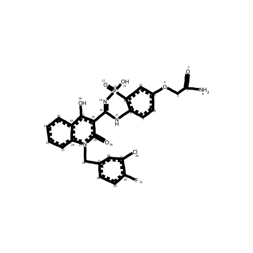 NC(=O)COc1ccc2c(c1)P(=O)(O)N=C(c1c(O)c3ccccc3n(Cc3ccc(F)c(Cl)c3)c1=O)N2